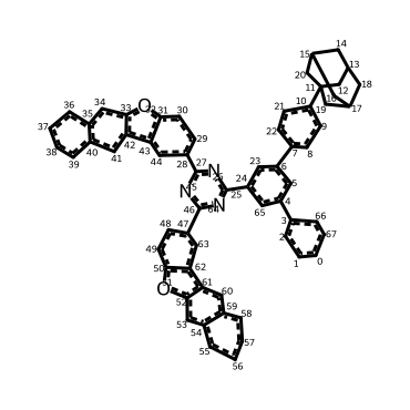 c1ccc(-c2cc(-c3ccc(C45CC6CC(CC(C6)C4)C5)cc3)cc(-c3nc(-c4ccc5oc6cc7ccccc7cc6c5c4)nc(-c4ccc5oc6cc7ccccc7cc6c5c4)n3)c2)cc1